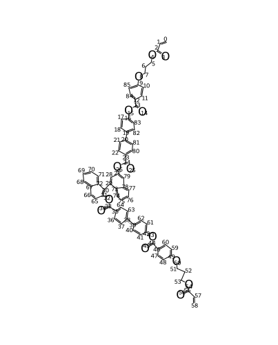 C=CC(=O)OCCCOc1ccc(C(=O)Oc2ccc(-c3ccc(C(=O)Oc4cc(-c5c(OC(=O)c6ccc(-c7ccc(OC(=O)c8ccc(OCCCOC(=O)C=C)cc8)cc7)cc6)ccc6ccccc56)c5ccccc5c4)cc3)cc2)cc1